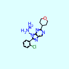 Cn1c(-c2ccccc2Cl)nc2cnc(C3CCOCC3)nc21.NN